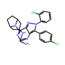 CCNC1CC2CCC(C1)N2c1ncnc2c(-c3ccc(Cl)cc3)n(-c3ccccc3Cl)nc12